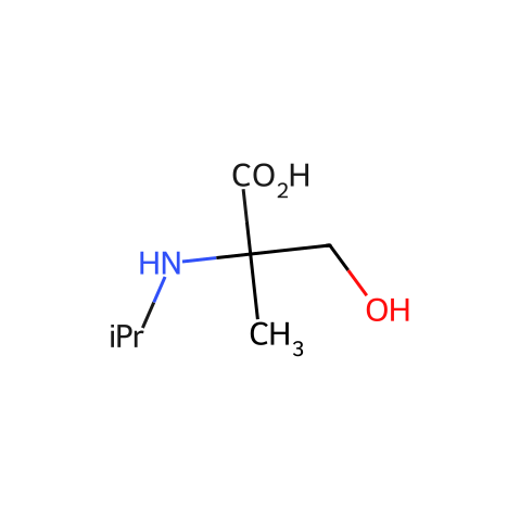 CC(C)NC(C)(CO)C(=O)O